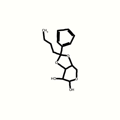 CCCCC1(c2ccccc2)OC2COC(O)C(O)C2O1